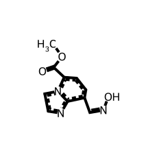 COC(=O)c1ccc(/C=N\O)c2nccn12